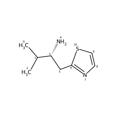 CC(C)[C@H](N)Cc1nccs1